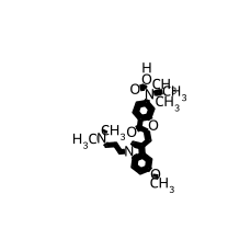 COc1ccc2c(c1)c(C=C1Oc3cc(N(C(=O)O)C(C)(C)C)ccc3C1=O)cn2CCCN(C)C